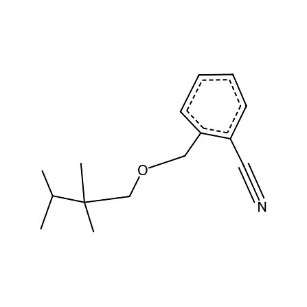 CC(C)C(C)(C)COCc1ccccc1C#N